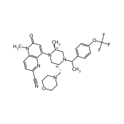 CC(c1ccc(OC(F)(F)F)cc1)N1C[C@H](C)N(c2cc(=O)n(C)c3ccc(C#N)nc23)C[C@H]1CN1CCOCC1